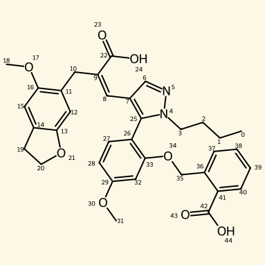 CCCCn1ncc(C=C(Cc2cc3c(cc2OC)CCO3)C(=O)O)c1-c1ccc(OC)cc1OCc1ccccc1C(=O)O